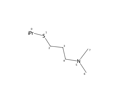 CC(C)SCCCN(C)C